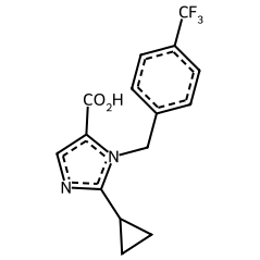 O=C(O)c1cnc(C2CC2)n1Cc1ccc(C(F)(F)F)cc1